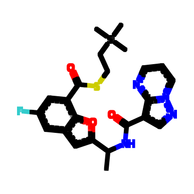 CC(NC(=O)c1cnn2cccnc12)c1cc2cc(F)cc(C(=O)SCC[Si](C)(C)C)c2o1